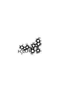 CC1(C)c2ccccc2-c2ccc(-n3c4ccccc4c4c3ccc3c5c6ccccc6ccc5n(-c5ccccc5)c34)cc21